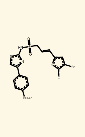 CC(=O)Nc1ccc(-c2csc(NS(=O)(=O)CC=Cc3cc(Br)c(Cl)s3)n2)cc1